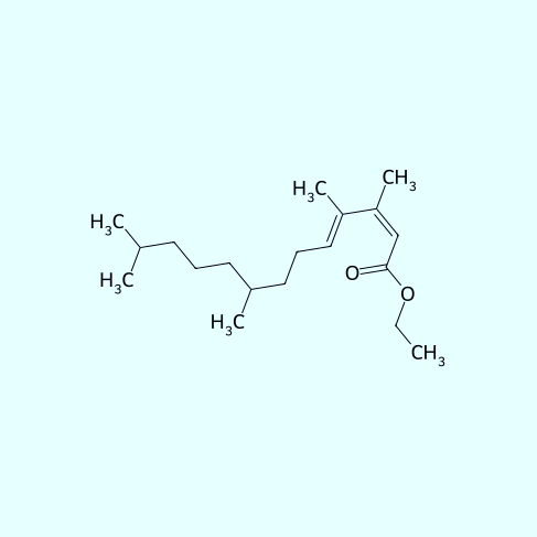 CCOC(=O)C=C(C)C(C)=CCCC(C)CCCC(C)C